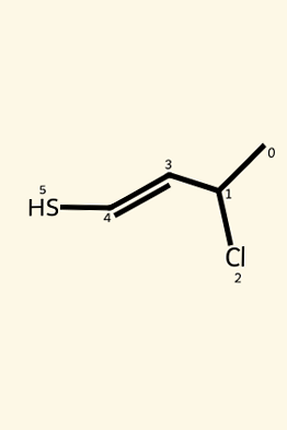 CC(Cl)C=CS